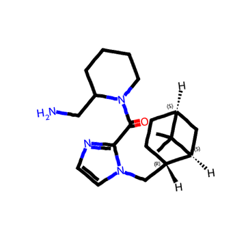 CC1(C)[C@H]2CC[C@@H](Cn3ccnc3C(=O)N3CCCCC3CN)[C@@H]1C2